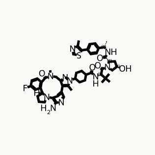 Cc1ncsc1-c1ccc([C@H](C)NC(=O)[C@@H]2C[C@@H](O)CN2C(=O)[C@@H](NC(=O)C2CCC(n3nc4c(c3C)-c3cnc(N)c(c3)N3CCC[C@@H]3c3cc(F)ccc3C(=O)N(C)C4)CC2)C(C)(C)C)cc1